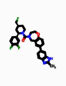 Cc1nc2ccc(-c3ccc4c(c3)CN(C(=O)N3CC[C@H](CF)C[C@@H]3c3ccc(F)c(F)c3)CCO4)cc2[nH]1